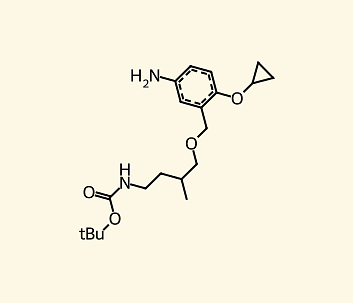 CC(CCNC(=O)OC(C)(C)C)COCc1cc(N)ccc1OC1CC1